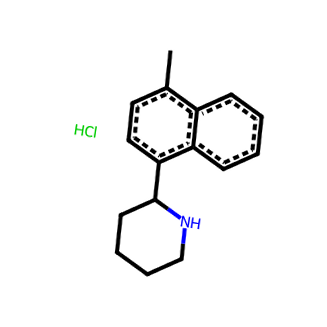 Cc1ccc(C2CCCCN2)c2ccccc12.Cl